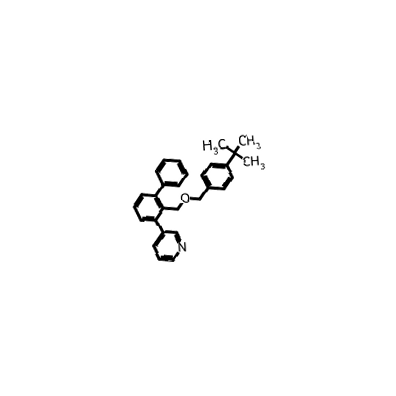 CC(C)(C)c1ccc(COCc2c(-c3ccccc3)cccc2-c2cccnc2)cc1